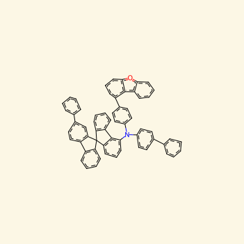 c1ccc(-c2ccc(N(c3ccc(-c4cccc5oc6ccccc6c45)cc3)c3cccc4c3-c3ccccc3C43c4ccccc4-c4ccc(-c5ccccc5)cc43)cc2)cc1